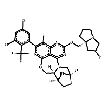 Oc1cc(Cl)c(C(F)(F)F)c(-c2nc3c4c(nc(OC[C@]56CCCN5C[C@@H](F)C6)nc4c2F)N2C[C@H]4CC[C@H](N4)[C@H]2CO3)c1